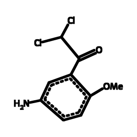 COc1ccc(N)cc1C(=O)C(Cl)Cl